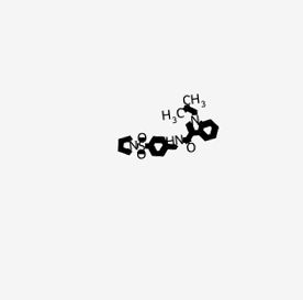 CC(C)Cn1cc(C(=O)NCc2ccc(S(=O)(=O)N3CCCC3)cc2)c2ccccc21